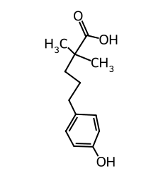 CC(C)(CCCc1ccc(O)cc1)C(=O)O